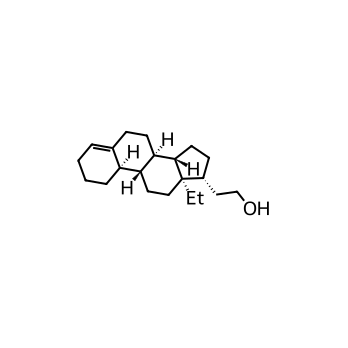 CC[C@]12CC[C@H]3[C@@H](CCC4=CCCC[C@@H]43)[C@@H]1CC[C@@H]2CCO